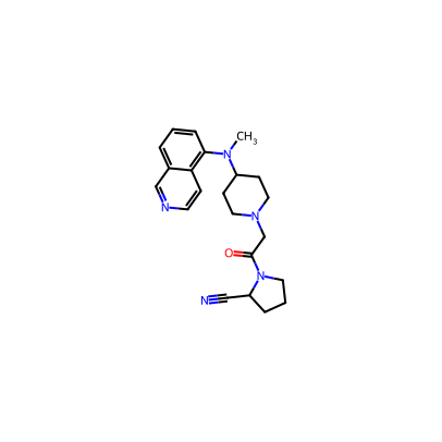 CN(c1cccc2cnccc12)C1CCN(CC(=O)N2CCCC2C#N)CC1